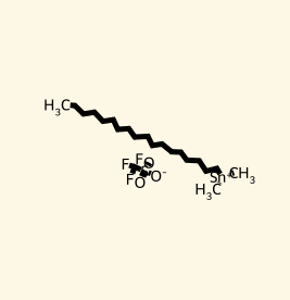 CCCCCCCCCCCCCCCCC[CH2][Sn+]([CH3])[CH3].O=S(=O)([O-])C(F)(F)F